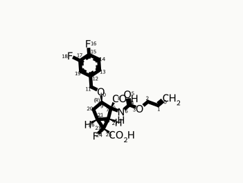 C=CCOC(=O)N[C@@]1(C(=O)O)[C@H](OCc2ccc(F)c(F)c2)C[C@@H]2[C@H]1[C@@]2(F)C(=O)O